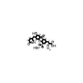 Br.N[C@H](Cc1cc([N+](=O)[O-])c(Oc2ccc(O)c(Cc3ccc(=O)[nH]c3)c2)c([N+](=O)[O-])c1)C(=O)O